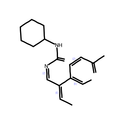 C=C(C)\C=C/C(=C\C)C(/C=N\C(=C)NC1CCCCC1)=C\C